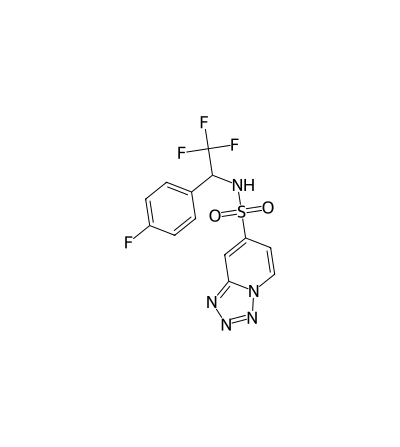 O=S(=O)(NC(c1ccc(F)cc1)C(F)(F)F)c1ccn2nnnc2c1